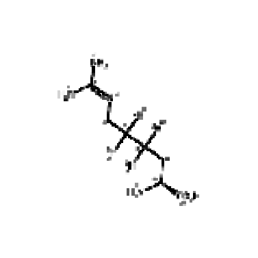 [2H]C([2H])(CN=C(N)N)C([2H])([2H])C[C@H](N)C(=O)O